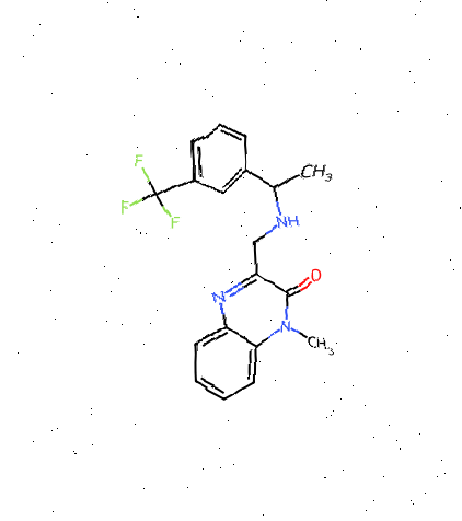 CC(NCc1nc2ccccc2n(C)c1=O)c1cccc(C(F)(F)F)c1